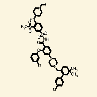 CC1(C)CCC(CN2CCN(c3ccc(C(=O)NS(=O)(=O)c4ccc(NC5CCN(CI)CC5)c(S(=O)(=O)C(F)(F)F)c4)c(Oc4cccc(Cl)c4)c3)CC2)=C(c2ccc(Cl)cc2)C1